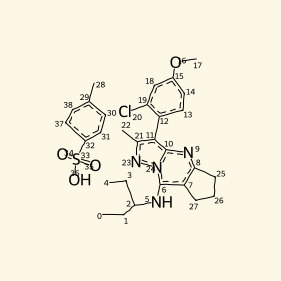 CCC(CC)Nc1c2c(nc3c(-c4ccc(OC)cc4Cl)c(C)nn13)CCC2.Cc1ccc(S(=O)(=O)O)cc1